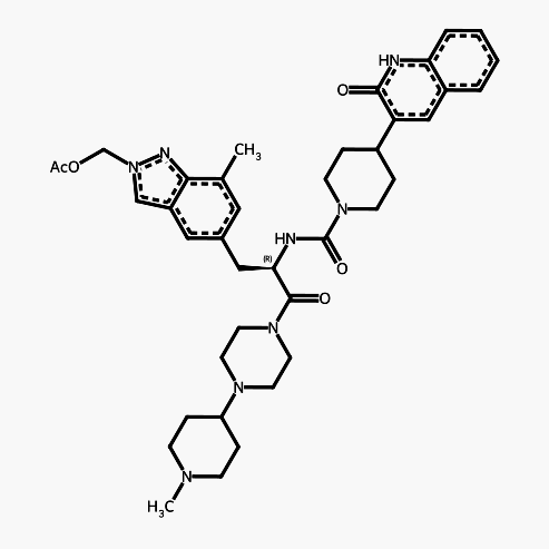 CC(=O)OCn1cc2cc(C[C@@H](NC(=O)N3CCC(c4cc5ccccc5[nH]c4=O)CC3)C(=O)N3CCN(C4CCN(C)CC4)CC3)cc(C)c2n1